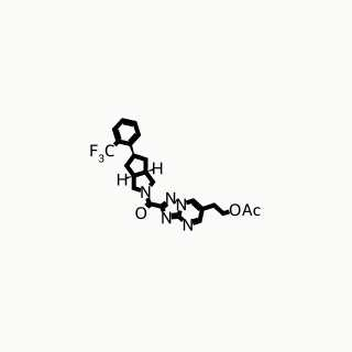 CC(=O)OCCc1cnc2nc(C(=O)N3C[C@H]4C[C@@H](c5ccccc5C(F)(F)F)C[C@H]4C3)nn2c1